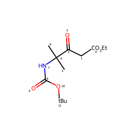 CCOC(=O)CC(=O)C(C)(C)NC(=O)OC(C)(C)C